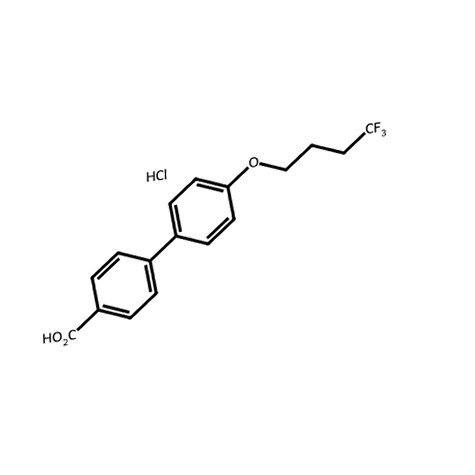 Cl.O=C(O)c1ccc(-c2ccc(OCCCC(F)(F)F)cc2)cc1